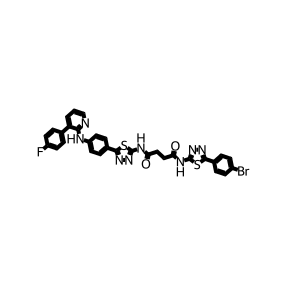 O=C(CCC(=O)Nc1nnc(-c2ccc(Nc3ncccc3-c3ccc(F)cc3)cc2)s1)Nc1nnc(-c2ccc(Br)cc2)s1